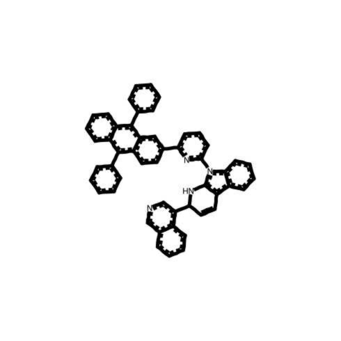 C1=CC(c2cncc3ccccc23)Nc2c1c1ccccc1n2-c1cccc(-c2ccc3c(-c4ccccc4)c4ccccc4c(-c4ccccc4)c3c2)n1